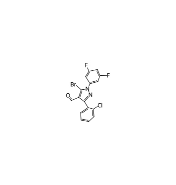 O=Cc1c(-c2ccccc2Cl)nn(-c2cc(F)cc(F)c2)c1Br